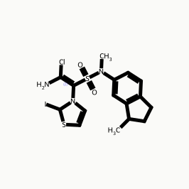 CC1CCc2ccc(N(C)S(=O)(=O)/C(=C(/N)Cl)N3C=CSC3I)cc21